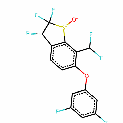 [O-][S+]1c2c(ccc(Oc3cc(F)cc(F)c3)c2C(F)F)[C@H](F)C1(F)F